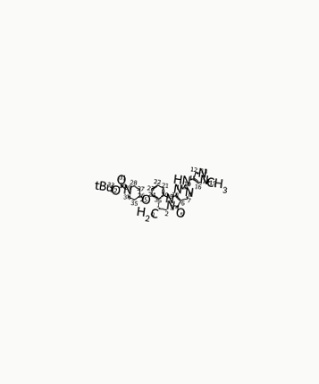 C=CCn1c(=O)c2cnc(Nc3cnn(C)c3)nc2n1-c1cccc(OC2CCN(C(=O)OC(C)(C)C)CC2)c1